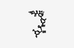 Cc1cc(NC(=O)[C@H](O)c2cc(F)cc(F)c2)ccc1-c1cnc(N)c(C(=O)NC2CN(C)C2)c1